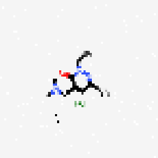 CC(C)Cn1nc(C(F)(F)F)cc(CN(C)C)c1=O.Cl